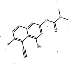 C#Cc1c(F)ccc2cc(OC(=O)N(C)C)cc(C(C)C)c12